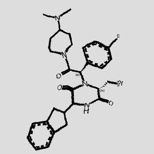 CC(C)C[C@@H]1C(=O)NC(C2Cc3ccccc3C2)C(=O)N1[C@@H](C(=O)N1CCC(N(C)C)CC1)c1ccc(F)cc1